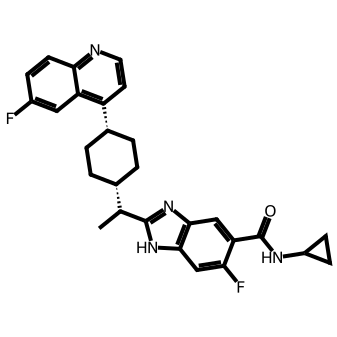 CC(c1nc2cc(C(=O)NC3CC3)c(F)cc2[nH]1)[C@H]1CC[C@@H](c2ccnc3ccc(F)cc32)CC1